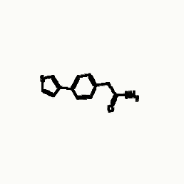 NC(=O)Cc1ccc(-c2ccsc2)cc1